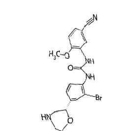 COc1ccc(C#N)cc1NC(=O)Nc1ccc([C@H]2CNCCO2)cc1Br